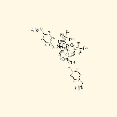 NCc1ccc(CNC(=O)[C@@H](OC(=O)C(F)(F)F)[C@H](OC(=O)C(F)(F)F)C(=O)NCc2ccc(CN)cc2)cc1